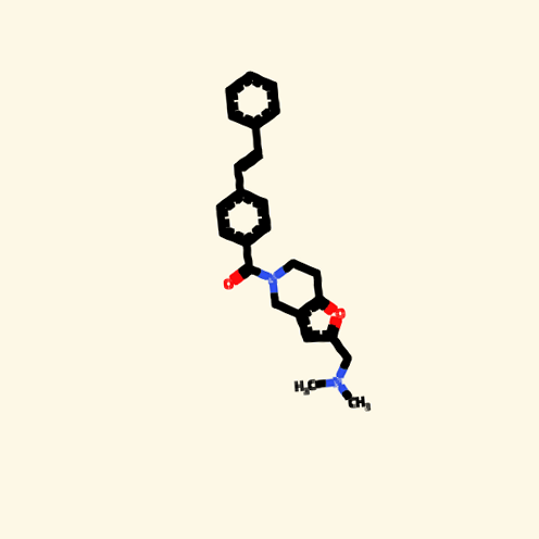 CN(C)Cc1cc2c(o1)CCN(C(=O)c1ccc(C=Cc3ccccc3)cc1)C2